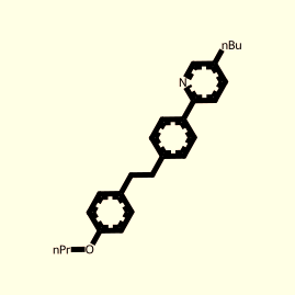 CCCCc1ccc(-c2ccc(CCc3ccc(OCCC)cc3)cc2)nc1